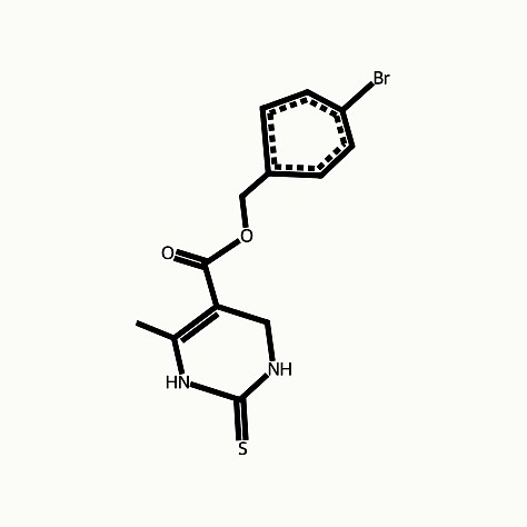 CC1=C(C(=O)OCc2ccc(Br)cc2)CNC(=S)N1